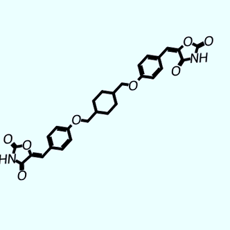 O=C1NC(=O)C(=Cc2ccc(OCC3CCC(COc4ccc(C=C5OC(=O)NC5=O)cc4)CC3)cc2)O1